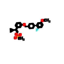 COc1ccc(F)c([C@H]2CC[C@H](COc3cccc(C(COS(C)(=O)=O)C4CC4)c3)CC2)c1